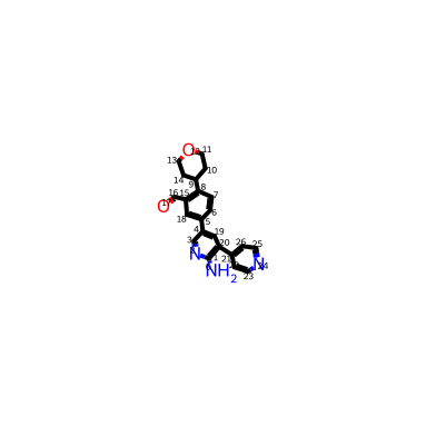 Nc1ncc(-c2ccc(C3CCOCC3)c(C=O)c2)cc1-c1ccncc1